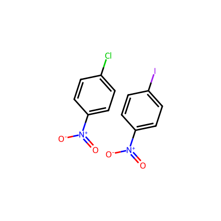 O=[N+]([O-])c1ccc(Cl)cc1.O=[N+]([O-])c1ccc(I)cc1